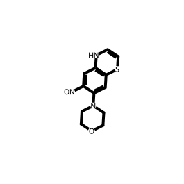 O=Nc1cc2c(cc1N1CCOCC1)SC=CN2